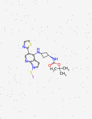 CC(C)(C)OC(=O)N[C@H]1C[C@@H](Nc2c(-c3nccs3)cnc3c2ccn3SI)C1